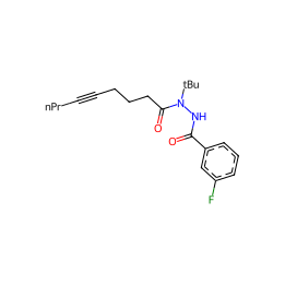 CCCC#CCCCC(=O)N(NC(=O)c1cccc(F)c1)C(C)(C)C